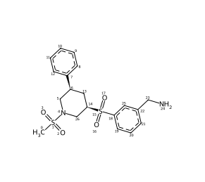 CS(=O)(=O)N1C[C@@H](c2ccccc2)C[C@@H](S(=O)(=O)c2cccc(CN)c2)C1